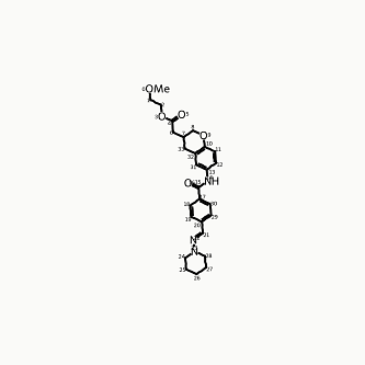 COCCOC(=O)CC1COc2ccc(NC(=O)c3ccc(/C=N/N4CCCCC4)cc3)cc2C1